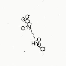 COc1cc2c(cc1OC)C(c1ccccc1)N(CCCCCCCC(=O)NOCc1ccccc1)CC2